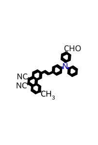 Cc1ccc2c(C#N)c(C#N)c3ccc(C=Cc4ccc(N(c5ccccc5)c5ccc(C=O)cc5)cc4)cc3c2c1